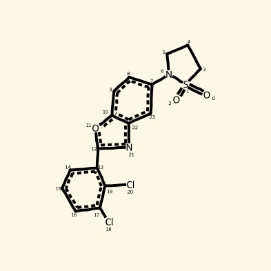 O=S1(=O)CCCN1c1ccc2oc(-c3cccc(Cl)c3Cl)nc2c1